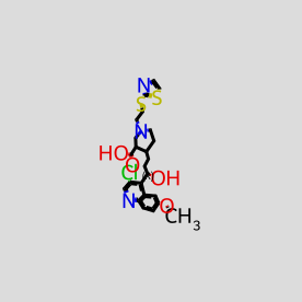 COc1ccc2ncc(Cl)c([C@H](O)CCC3CCN(CCSc4nccs4)CC3C(=O)O)c2c1